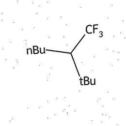 CCCCC(C(C)(C)C)C(F)(F)F